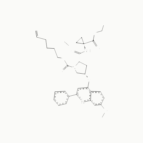 C=CCCCCOC(=O)N1C[C@H](Oc2cc(-c3ccccc3)nc3cc(OC)ccc23)C[C@H]1C(=O)N[C@]1(C(=O)OCC)C[C@H]1CC